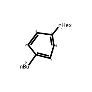 [CH2]CCCc1ccc(CCCCCC)cc1